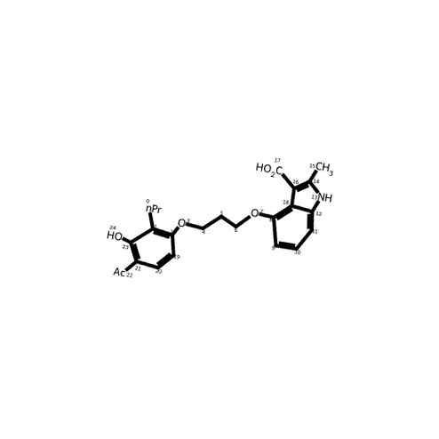 CCCc1c(OCCCOc2cccc3[nH]c(C)c(C(=O)O)c23)ccc(C(C)=O)c1O